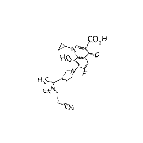 CCN(CCC#N)C(C)C1CCN(c2c(F)cc3c(=O)c(C(=O)O)cn(C4CC4)c3c2O)C1